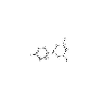 Cc1ccc(N2CC(C)OC(C)C2)nc1